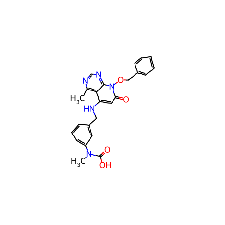 Cc1ncnc2c1c(NCc1cccc(N(C)C(=O)O)c1)cc(=O)n2OCc1ccccc1